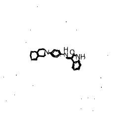 O=C1Nc2ccccc2C1=CNc1ccc(N2CCC3CCCCC3C2)cc1